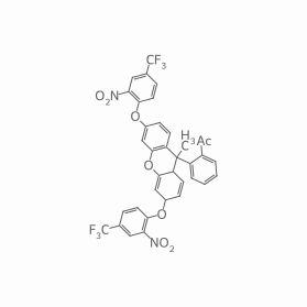 CC(=O)c1ccccc1C1(C)c2ccc(Oc3ccc(C(F)(F)F)cc3[N+](=O)[O-])cc2OC2=CC(Oc3ccc(C(F)(F)F)cc3[N+](=O)[O-])C=CC21